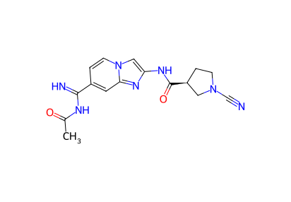 CC(=O)NC(=N)c1ccn2cc(NC(=O)[C@H]3CCN(C#N)C3)nc2c1